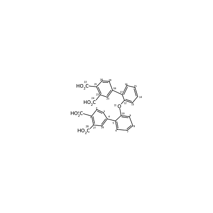 O=C(O)c1ccc(-c2ccccc2Oc2ccccc2-c2ccc(C(=O)O)c(C(=O)O)c2)cc1C(=O)O